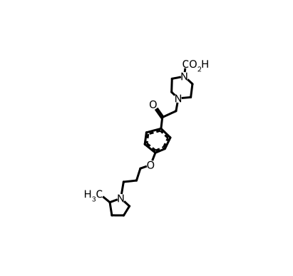 CC1CCCN1CCCOc1ccc(C(=O)CN2CCN(C(=O)O)CC2)cc1